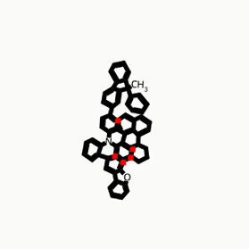 CC1(c2ccccc2)c2ccccc2-c2ccc(-c3ccc(N(c4ccccc4-c4ccc5oc6ccccc6c5c4)c4ccccc4-c4cccc5cccc(C6CCCCC6)c45)cc3)cc21